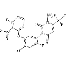 Nn1c(C(F)(F)F)cc(=O)n(-c2cc(Oc3cccc(F)c3[N+](=O)[O-])c(Cl)cc2F)c1=O